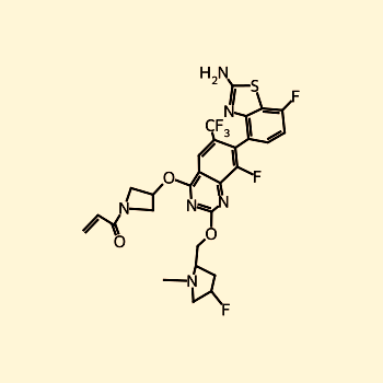 C=CC(=O)N1CC(Oc2nc(OCC3CC(F)CN3C)nc3c(F)c(-c4ccc(F)c5sc(N)nc45)c(C(F)(F)F)cc23)C1